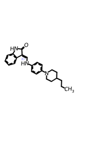 CCCC1CCN(c2ccc(N/C=C3/C(=O)Nc4ccccc43)cc2)CC1